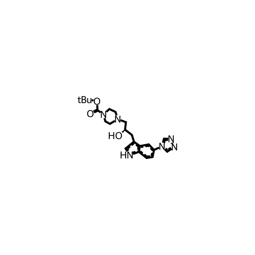 CC(C)(C)OC(=O)N1CCN(C[C@H](O)Cc2c[nH]c3ccc(-n4cnnc4)cc23)CC1